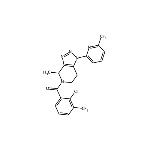 C[C@H]1c2nnn(-c3cccc(C(F)(F)F)n3)c2CCN1C(=O)c1cccc(C(F)(F)F)c1Cl